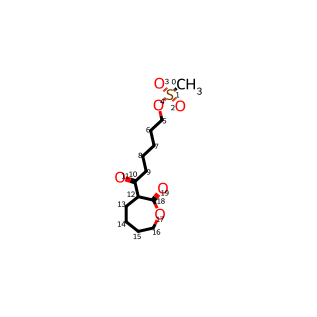 CS(=O)(=O)OCCCCCC(=O)C1CCCCOC1=O